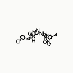 O=C(Nc1cc(NCc2cn3cc(C4CC4)cc(N4CCCC4=O)c3n2)ncn1)[C@H]1C[C@@H]1c1cccc(Cl)c1